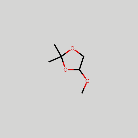 COC1COC(C)(C)O1